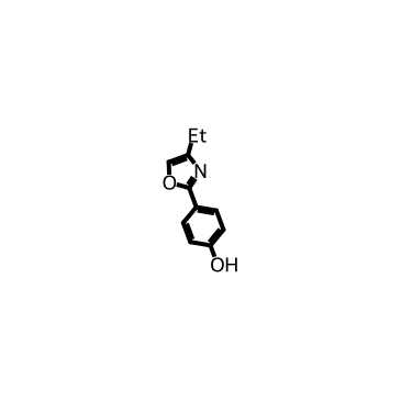 CCc1coc(-c2ccc(O)cc2)n1